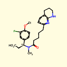 CCOc1ccc([C@H](CC(=O)O)N(C)C(=O)CCCCc2ccc3c(n2)NCCC3)cc1F